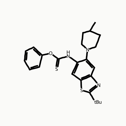 CC1CCN(c2cc3nc(C(C)(C)C)sc3cc2NC(=S)Oc2ccccc2)CC1